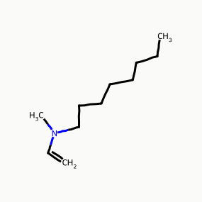 C=CN(C)CCCCCCCC